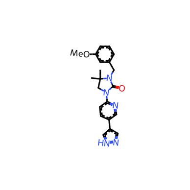 COc1cccc(CN2C(=O)N(c3ccc(-c4cn[nH]c4)cn3)CC2(C)C)c1